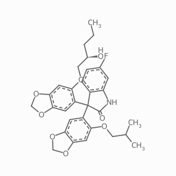 CCC[C@@H](O)COc1cc2c(cc1C1(c3cc4c(cc3OCC(C)C)OCO4)C(=O)Nc3cc(F)ccc31)OCO2